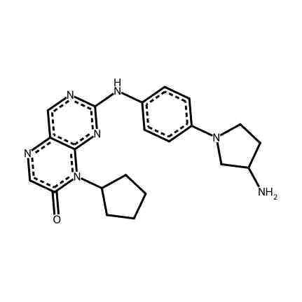 NC1CCN(c2ccc(Nc3ncc4ncc(=O)n(C5CCCC5)c4n3)cc2)C1